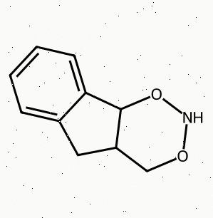 c1ccc2c(c1)CC1CONOC21